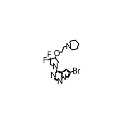 FC1(F)CN(c2ncnn3cc(Br)cc23)CC1OCCN1CCCCC1